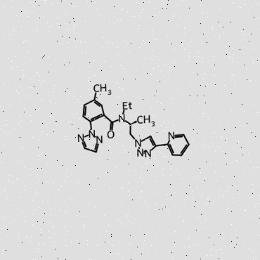 CCN(C(=O)c1cc(C)ccc1-n1nccn1)[C@@H](C)Cn1cc(-c2ccccn2)nn1